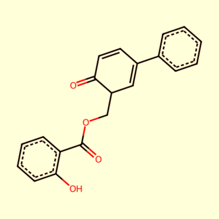 O=C(OCC1C=C(c2ccccc2)C=CC1=O)c1ccccc1O